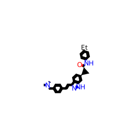 CCc1ccc(NC(=O)[C@@H]2C[C@H]2c2ccc3c(/C=C/c4ccc(CN(C)C)cc4)n[nH]c3c2)cc1